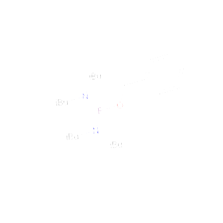 CCC(C)N(C(C)CC)P(OC(C)c1ccccc1)N(C(C)CC)C(C)CC